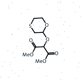 COC(=O)C(OC1CSCCO1)C(=O)OC